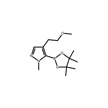 COCCc1cnn(C)c1B1OC(C)(C)C(C)(C)O1